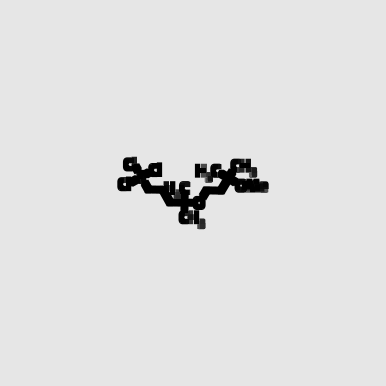 COC(C)(C)CCOC(C)(C)CCCS(Cl)(Cl)Cl